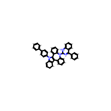 C1=Cc2c(c3c(n2-c2ccc(-c4ccccc4)cc2)-c2ccccc2N(C2N=C(c4ccccc4)c4ccccc4N2)c2ccccc2-3)CC1